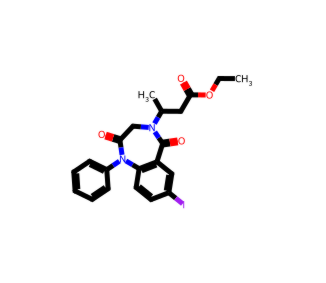 CCOC(=O)CC(C)N1CC(=O)N(c2ccccc2)c2ccc(I)cc2C1=O